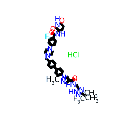 Cc1cc(-c2ccc(CN3CCN(c4ccc(C(=O)N[C@H]5CCC(=O)NC5=O)c(F)c4)CC3)cc2)ccc1-n1cc(C(=O)NCc2nc(C(C)(C)C(F)(F)F)n[nH]2)cn1.Cl